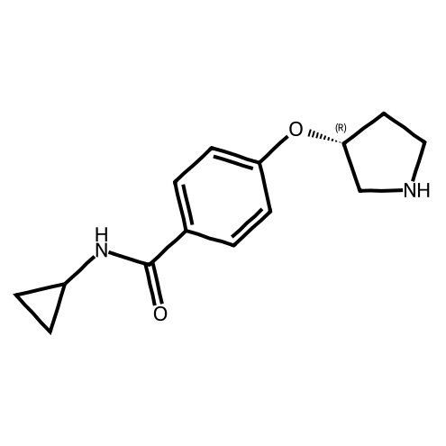 O=C(NC1CC1)c1ccc(O[C@@H]2CCNC2)cc1